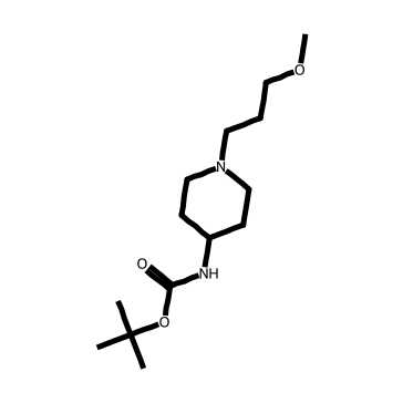 COCCCN1CCC(NC(=O)OC(C)(C)C)CC1